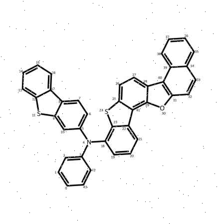 c1ccc(N(c2ccc3c(c2)sc2ccccc23)c2cccc3c2sc2ccc4c(oc5ccc6ccccc6c54)c23)cc1